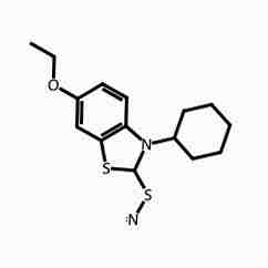 CCOc1ccc2c(c1)SC(S[N])N2C1CCCCC1